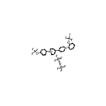 FC(F)(F)Oc1ccc(-[n+]2ccc(-c3cc[n+](-c4ccccc4OC(F)(F)F)cc3)cc2)cc1.F[B-](F)(F)F.F[B-](F)(F)F